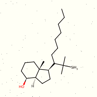 CCCCCCCC([C@H]1CC[C@H]2[C@@H](O)CCC[C@]12C)C(C)(C)[SiH3]